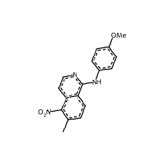 COc1ccc(Nc2nccc3c([N+](=O)[O-])c(C)ccc23)cc1